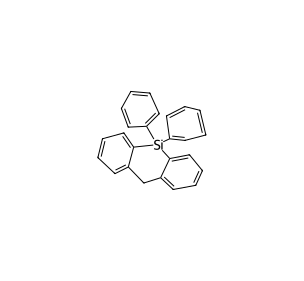 c1ccc([Si]2(c3ccccc3)c3ccccc3Cc3ccccc32)cc1